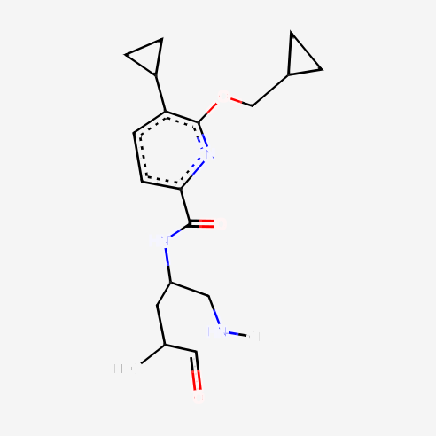 CNCC(CC(C)C=O)NC(=O)c1ccc(C2CC2)c(OCC2CC2)n1